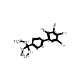 CCOC(O[SiH3])(OCC)c1ccc(-c2cc(F)c(F)c(F)c2F)cc1